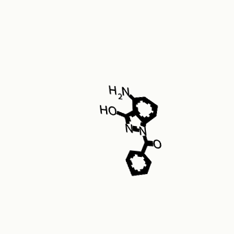 Nc1cccc2c1c(O)nn2C(=O)c1ccccc1